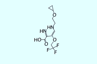 N=C(C(=O)O)/C(=C\NCCOC1CC1)OCC(F)(F)F